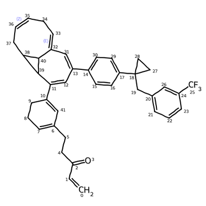 C=CC(=O)CCC1=CCCC(C2=CC(c3ccc(C4(Cc5cccc(C(F)(F)F)c5)CC4)cc3)=C/C3=C/C/C=C\CC4C2C34)=C1